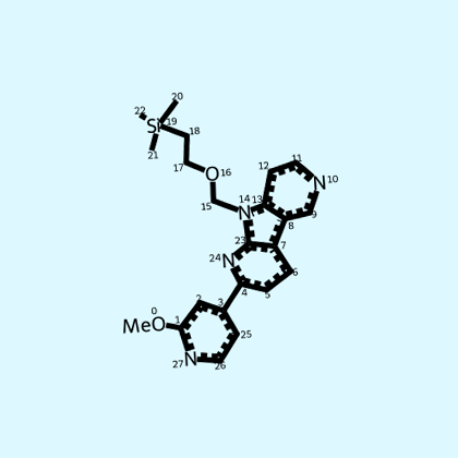 COc1cc(-c2ccc3c4cnccc4n(COCC[Si](C)(C)C)c3n2)ccn1